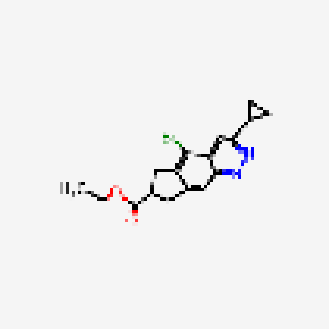 CCOC(=O)C1Cc2cc3nnc(C4CC4)cc3c(Br)c2C1